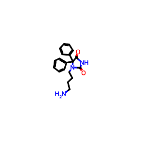 NCCCCN1C(=O)NC(=O)C1(c1ccccc1)c1ccccc1